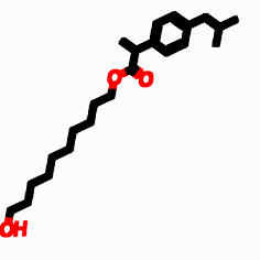 CC(C)Cc1ccc(C(C)C(=O)OCCCCCCCCCCO)cc1